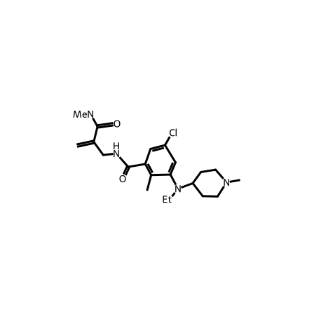 C=C(CNC(=O)c1cc(Cl)cc(N(CC)C2CCN(C)CC2)c1C)C(=O)NC